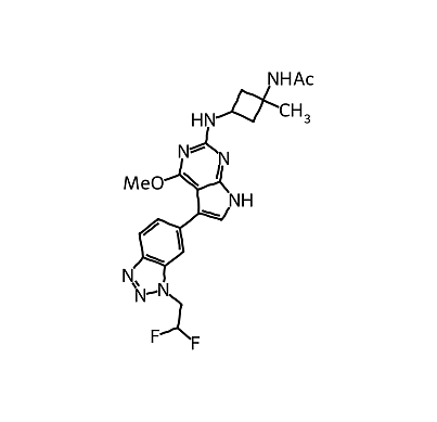 COc1nc(NC2CC(C)(NC(C)=O)C2)nc2[nH]cc(-c3ccc4nnn(CC(F)F)c4c3)c12